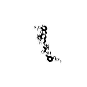 O=C(NCc1cccc(OC(F)(F)F)c1)c1cn(CCCCN(Cc2ccnc(C(F)(F)F)c2)C(=O)c2c[nH]nn2)nn1